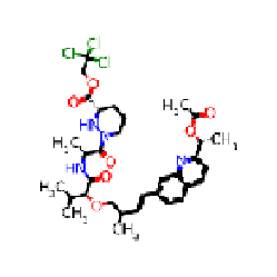 CC(=O)O[C@H](C)c1ccc2ccc(/C=C/C(C)CO[C@H](C(=O)N[C@@H](C)C(=O)N3CCC[C@@H](C(=O)OCC(Cl)(Cl)Cl)N3)C(C)C)cc2n1